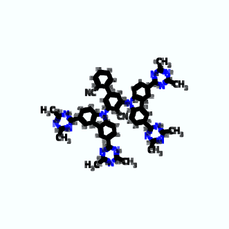 Cc1nc(C)nc(-c2ccc3c(c2)c2cc(-c4nc(C)nc(C)n4)ccc2n3-c2cc(-c3ccccc3C#N)cc(-n3c4ccc(-c5nc(C)nc(C)n5)cc4c4cc(-c5nc(C)nc(C)n5)ccc43)c2C#N)n1